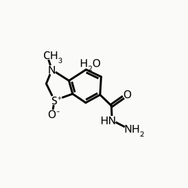 CN1C[S+]([O-])c2cc(C(=O)NN)ccc21.O